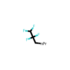 [CH2]CCCC(F)(F)[C](F)F